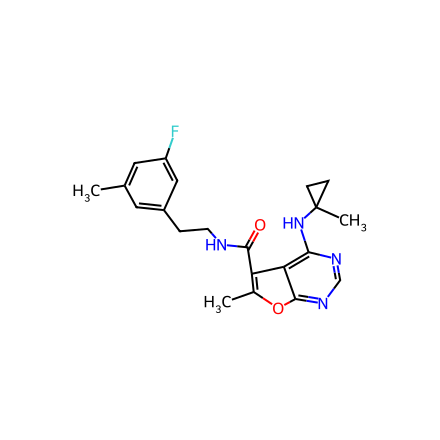 Cc1cc(F)cc(CCNC(=O)c2c(C)oc3ncnc(NC4(C)CC4)c23)c1